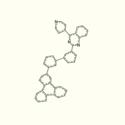 c1cc(-c2cccc(-c3nc(-c4ccncc4)c4ccccc4n3)c2)cc(-c2ccc3c4ccccc4c4ccccc4c3c2)c1